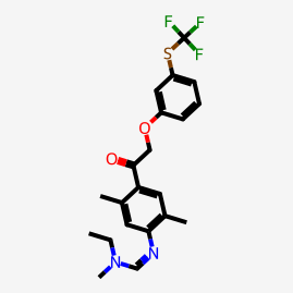 CCN(C)/C=N\c1cc(C)c(C(=O)COc2cccc(SC(F)(F)F)c2)cc1C